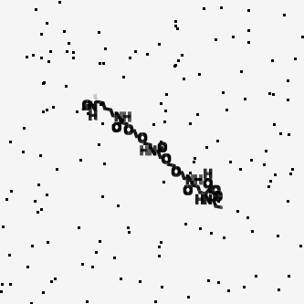 CCC(=O)N[C@@H](CCC(=O)NCCOCCOCC(=O)NCCOCCOCC(=O)NCCCC[C@@H](C)NOC)C(=O)O